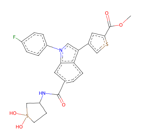 COC(=O)c1cc(-c2cn(-c3ccc(F)cc3)c3cc(C(=O)NC4CCS(O)(O)C4)ccc23)cs1